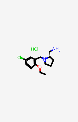 CCOc1ccc(Cl)cc1CN1CCC[C@@H]1CN.Cl